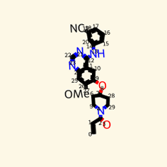 C=CC(=O)N1CCC(Oc2cc3c(Nc4cccc(C#N)c4)ncnc3cc2OC)CC1